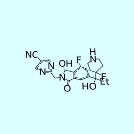 CCC(O)(c1cc(F)c2c(c1)C(=O)N(Cc1ncc(C#N)cn1)[C@@H]2O)C1(F)CCNCC1